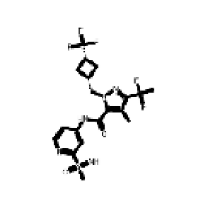 Cc1c(C(C)(F)F)nn(C[C@H]2C[C@@H](C(F)(F)F)C2)c1C(=O)Nc1ccnc(S(C)(=N)=O)c1